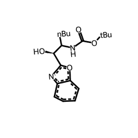 CCCCC(NC(=O)OC(C)(C)C)[C@H](O)c1nc2ccccc2o1